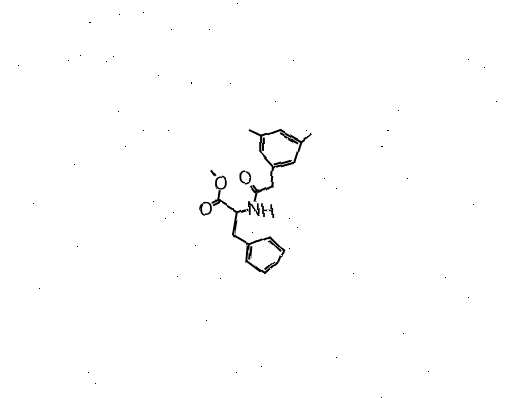 COC(=O)C(Cc1ccccc1)NC(=O)Cc1cc(C)cc(C)c1